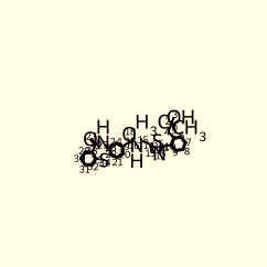 CC(C)(O)Cc1ccccc1-c1ncc(CNC(=O)c2ccc3c(c2)NC(=O)c2ccccc2S3)s1